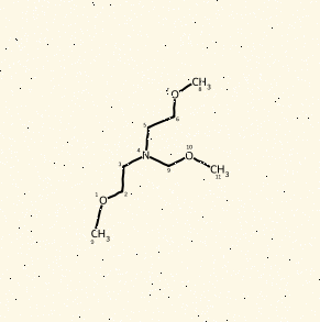 COCCN(CCOC)COC